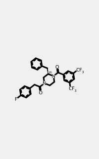 O=C(Cc1ccc(F)cc1)N1CCN(C(=O)c2cc(C(F)(F)F)cc(C(F)(F)F)c2)[C@H](Cc2ccccc2)C1